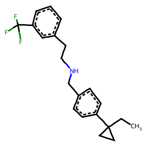 CCC1(c2ccc(CNCCc3cccc(C(F)(F)F)c3)cc2)CC1